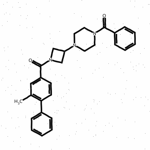 Cc1cc(C(=O)N2CC(N3CCN(C(=O)c4ccccc4)CC3)C2)ccc1-c1ccccc1